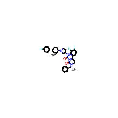 COc1cc(F)ccc1[C@H]1CC[C@H](N2CC[C@@H](NC(=O)N3C(=O)N([C@H](C)c4ccccc4)CC=C3c3ccc(F)c(F)c3)C2)CC1